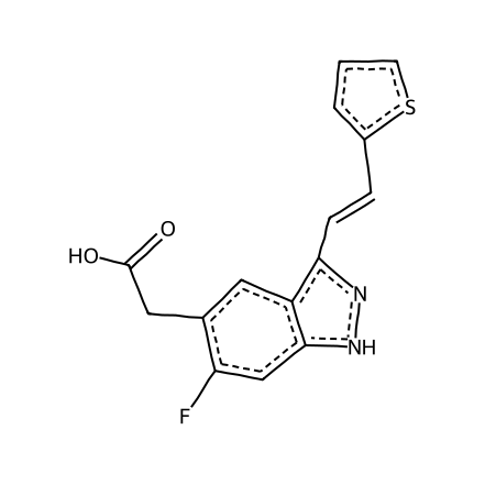 O=C(O)Cc1cc2c(/C=C/c3cccs3)n[nH]c2cc1F